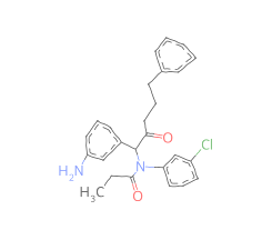 CCC(=O)N(c1cccc(Cl)c1)C(C(=O)CCCc1ccccc1)c1cccc(N)c1